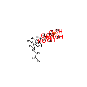 CCCC.CCCC.CCCC.CCCC.O=P(O)(O)O.O=P(O)(O)O